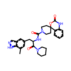 Cc1cc(CC(NC(=O)N2CCC3(CC2)OC(=O)Nc2ccccc23)C(=O)N2CCCCC2)cc2cn[nH]c12